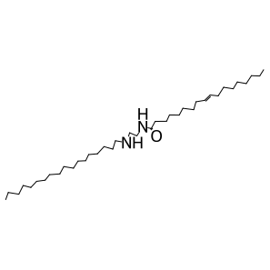 CCCCCCCCC=CCCCCCCCC(=O)NCCNCCCCCCCCCCCCCCCCCC